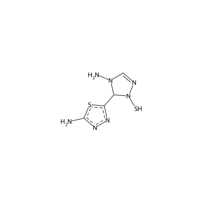 Nc1nnc(C2N(N)C=NN2S)s1